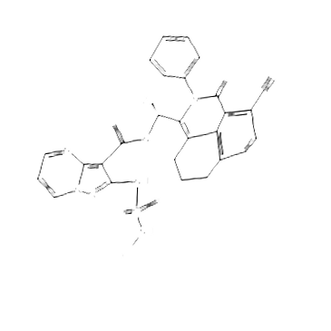 C#Cc1ccc2c3c(c([C@H](C)NC(=O)c4c(NS(=O)(=O)NC)nn5cccnc45)n(-c4ccccc4)c(=O)c13)CCC2